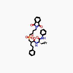 CC(C)C[C@H](NC(=O)C(CCc1ccccc1)CP(=O)(O)CCCCN1C(=O)c2ccccc2C1=O)C(=O)Nc1ccccc1